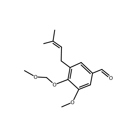 COCOc1c(CC=C(C)C)cc(C=O)cc1OC